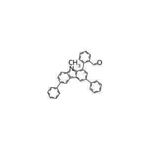 Cn1c2ccc(-c3ccccc3)cc2c2cc(-c3ccccc3)cc(-c3ccccc3C=O)c21